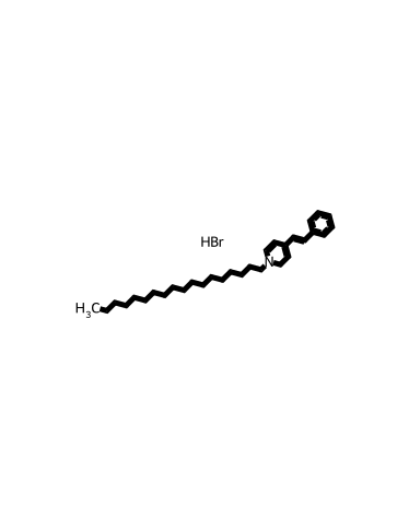 Br.CCCCCCCCCCCCCCCCCCN1C=CC(C=Cc2ccccc2)=CC1